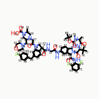 CC(C(=O)NC(C(=O)N1Cc2ccc(NC(=O)CNC(=O)[C@]3(C)CN(C(=O)CN4CC(C)N(C(=O)O)CC4CN4CCOC[C@H]4C)c4cc(Cc5ccc(F)cc5)ccc43)cc2[C@H]1C(=O)Nc1c(F)cccc1F)C(C)(C)C)N(C)C(=O)OC(C)(C)C